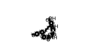 CC1(C(=O)N2CCOCC2)CNCC(C)(C(=O)N2CCOCC2)O1.COc1ccc(N2CCN(CCCCc3c[nH]c4ccc(C(=O)O)cc34)CC2)cc1